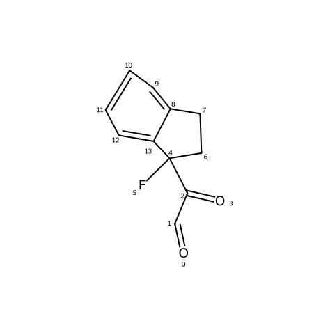 O=CC(=O)C1(F)CCc2ccccc21